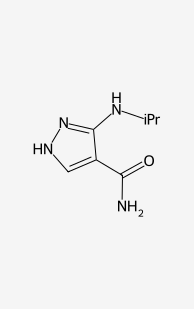 CC(C)Nc1n[nH]cc1C(N)=O